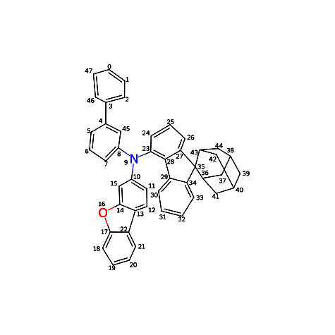 c1ccc(-c2cccc(N(c3ccc4c(c3)oc3ccccc34)c3cccc4c3-c3ccccc3C43C4CC5CC(C4)CC3C5)c2)cc1